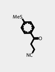 CSc1ccc(C(=O)CCC#N)cc1